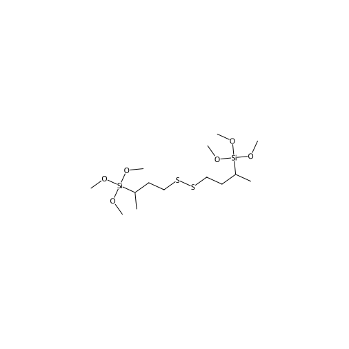 CO[Si](OC)(OC)C(C)CCSSCCC(C)[Si](OC)(OC)OC